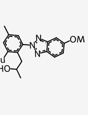 COc1ccc2nn(-c3cc(C)cc(C(C)(C)C)c3CC(C)O)nc2c1